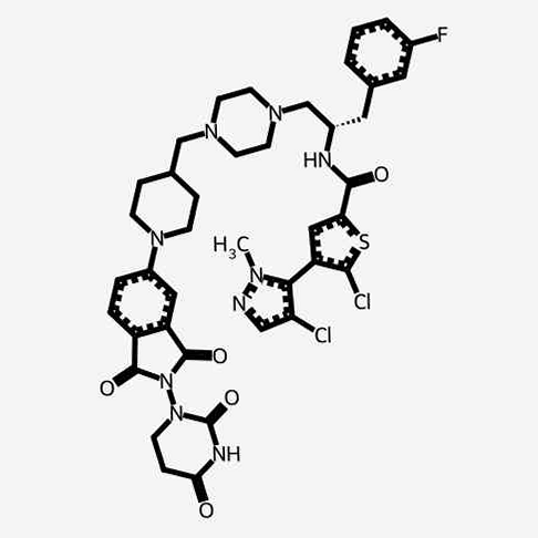 Cn1ncc(Cl)c1-c1cc(C(=O)N[C@@H](Cc2cccc(F)c2)CN2CCN(CC3CCN(c4ccc5c(c4)C(=O)N(N4CCC(=O)NC4=O)C5=O)CC3)CC2)sc1Cl